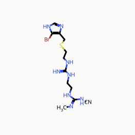 C/N=C(/NC#N)NCCNC(=N)NCCSCc1nc[nH]c1Br